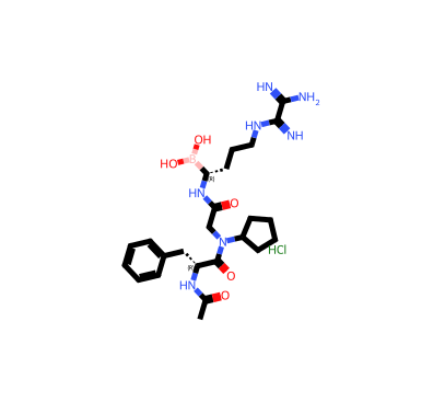 CC(=O)N[C@H](Cc1ccccc1)C(=O)N(CC(=O)N[C@@H](CCCNC(=N)C(=N)N)B(O)O)C1CCCC1.Cl